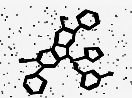 CC(C)(C)c1cc2c(cc1-c1ccccc1)[CH]([Zr](=[CH]c1cccc(Br)c1)[C]1=CC=CC1)c1cc(-c3ccccc3)c(C(C)(C)C)cc1-2